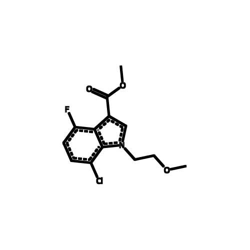 COCCn1cc(C(=O)OC)c2c(F)ccc(Cl)c21